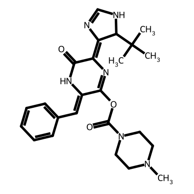 CN1CCN(C(=O)Oc2nc(=C3N=CNC3C(C)(C)C)c(=O)[nH]c2=Cc2ccccc2)CC1